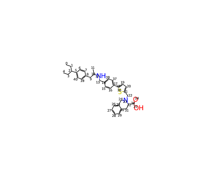 CCC(CC)c1ccc(CC(C)NCc2ccc(-c3ccc(CN4Cc5ccccc5CC4C(=O)O)s3)cc2)cc1